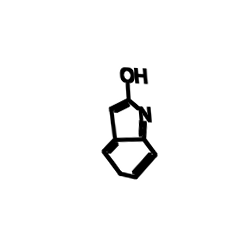 OC1=CC2=CCC=CC2=N1